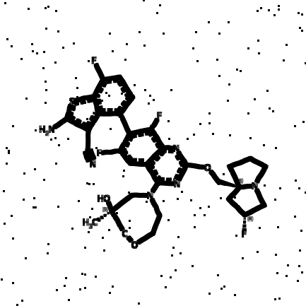 C[C@@]1(O)COCCN(c2nc(OC[C@@]34CCCN3C[C@H](F)C4)nc3c(F)c(-c4ccc(F)c5sc(N)c(C#N)c45)c(F)cc23)C1